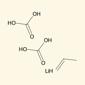 C=CC.O=C(O)O.O=C(O)O.[LiH]